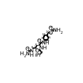 CC(C)CC(=O)N[C@@H](CCCNC(N)=O)C(=O)Nc1ccc(COC(N)=O)cc1